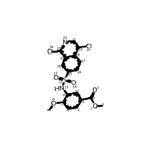 COC(=O)c1ccc(OC)c(NS(=O)(=O)c2ccc3c(Cl)cnc(Cl)c3c2)c1